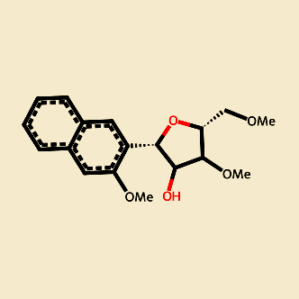 COC[C@H]1O[C@@H](c2cc3ccccc3cc2OC)C(O)C1OC